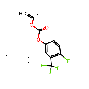 C=COC(=O)Oc1ccc(F)c(C(F)(F)F)c1